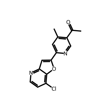 CC(=O)c1cnc(-c2cc3nccc(Cl)c3o2)cc1C